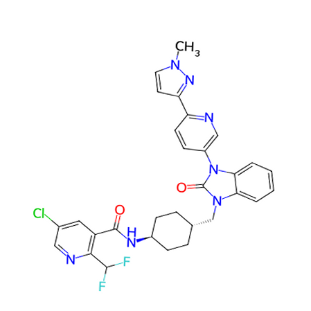 Cn1ccc(-c2ccc(-n3c(=O)n(C[C@H]4CC[C@H](NC(=O)c5cc(Cl)cnc5C(F)F)CC4)c4ccccc43)cn2)n1